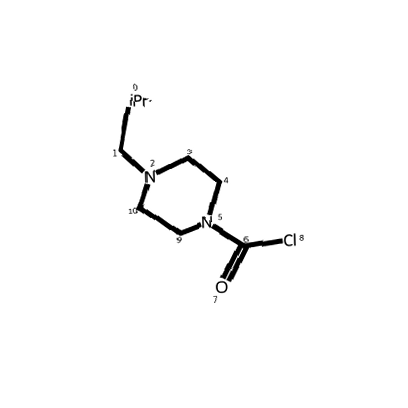 C[C](C)CN1CCN(C(=O)Cl)CC1